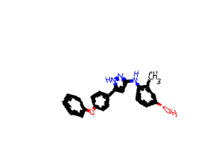 Cc1cc(O)ccc1Nc1cc(-c2ccc(Oc3ccccc3)cc2)[nH]n1